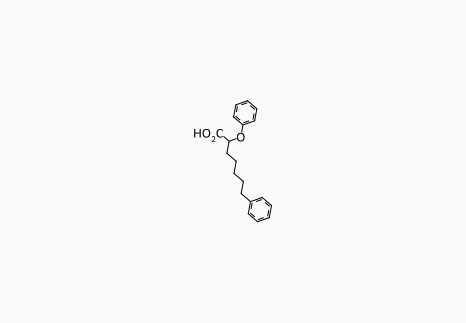 O=C(O)C(CCCCCc1ccccc1)Oc1ccccc1